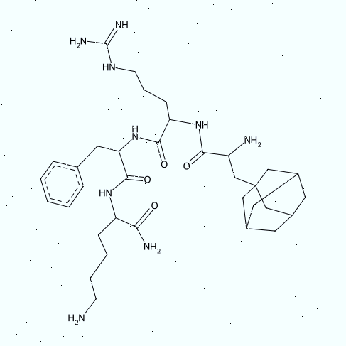 N=C(N)NCCCC(NC(=O)C(N)CC12CC3CC(CC(C3)C1)C2)C(=O)NC(Cc1ccccc1)C(=O)NC(CCCCN)C(N)=O